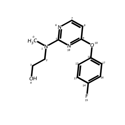 CN(CCO)c1nccc(Oc2ccc(F)cc2)n1